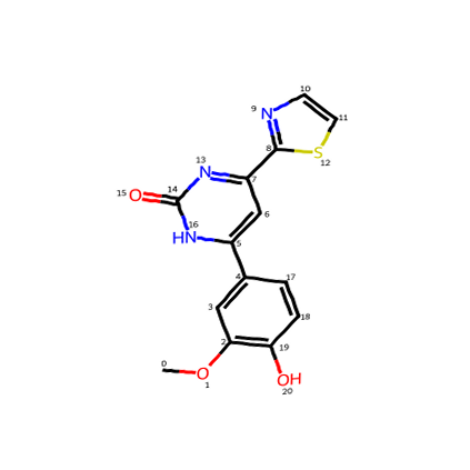 COc1cc(-c2cc(-c3nccs3)nc(=O)[nH]2)ccc1O